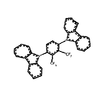 FC(F)(F)c1c(-n2c3ccccc3c3ccccc32)ccc(-n2c3ccccc3c3ccccc32)c1C(F)(F)F